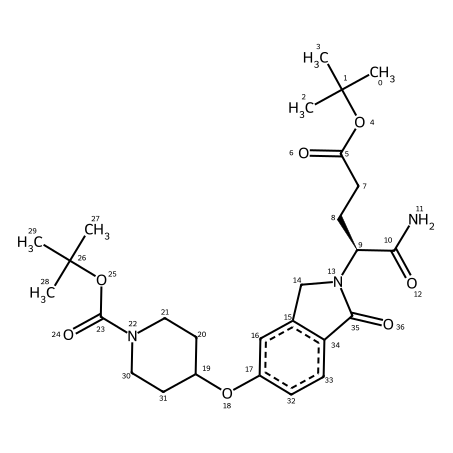 CC(C)(C)OC(=O)CC[C@@H](C(N)=O)N1Cc2cc(OC3CCN(C(=O)OC(C)(C)C)CC3)ccc2C1=O